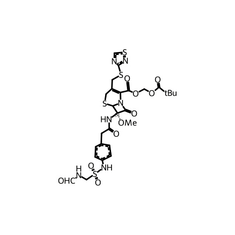 CO[C@@]1(NC(=O)Cc2ccc(NS(=O)(=O)CNC=O)cc2)C(=O)N2C(C(=O)OCOC(=O)C(C)(C)C)=C(CSc3ncsn3)CSC21